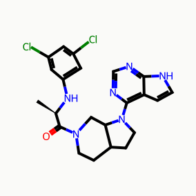 C[C@@H](Nc1cc(Cl)cc(Cl)c1)C(=O)N1CCC2CCN(c3ncnc4[nH]ccc34)C2C1